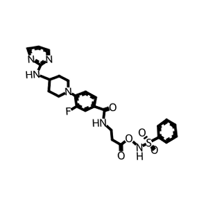 O=C(CCNC(=O)c1ccc(N2CCC(Nc3ncccn3)CC2)c(F)c1)ONS(=O)(=O)c1ccccc1